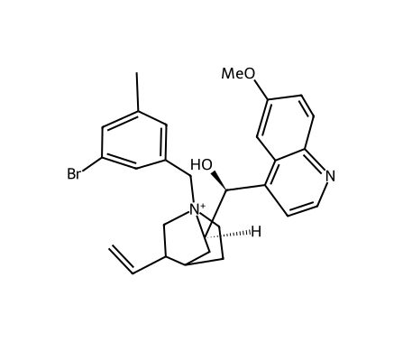 C=CC1C[N+]2(Cc3cc(C)cc(Br)c3)CCC1C[C@@H]2[C@@H](O)c1ccnc2ccc(OC)cc12